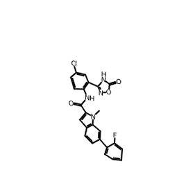 Cn1c(C(=O)Nc2ccc(Cl)cc2-c2noc(=O)[nH]2)cc2ccc(-c3ccccc3F)cc21